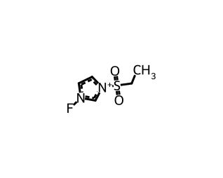 CCS(=O)(=O)[n+]1ccn(F)c1